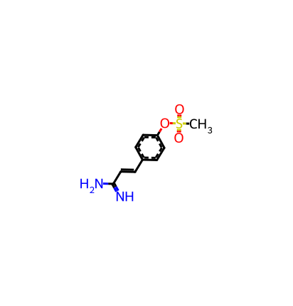 CS(=O)(=O)Oc1ccc(C=CC(=N)N)cc1